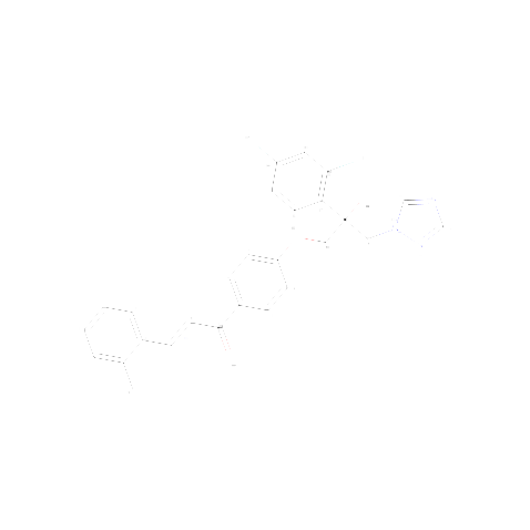 Cc1ccccc1/C=C/C(=O)c1ccc(OCC(O)(Cn2cncn2)c2ccc(F)cc2F)cc1